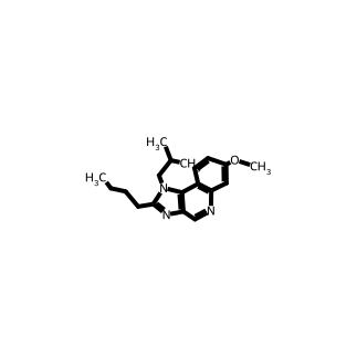 CCCCc1nc2cnc3cc(OC)ccc3c2n1CC(C)C